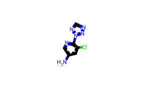 Nc1cnc(-n2ncnn2)c(Cl)c1